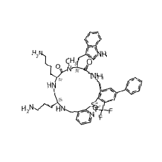 CN1C(=O)[C@H](CCCCN)NC[C@H](CCCN)NCc2cccnc2[S+]([O-])c2c(cc(-c3ccccc3)cc2C(F)(F)F)CNC(=O)[C@@H]1Cc1c[nH]c2ccccc12